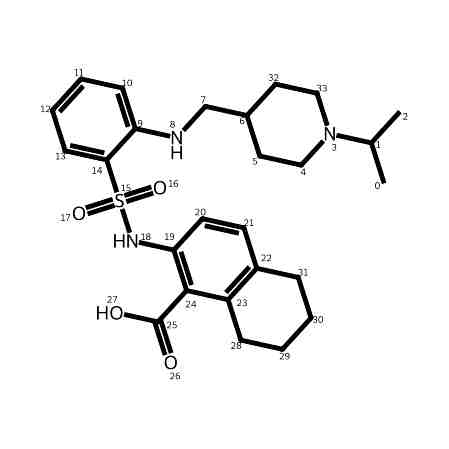 CC(C)N1CCC(CNc2ccccc2S(=O)(=O)Nc2ccc3c(c2C(=O)O)CCCC3)CC1